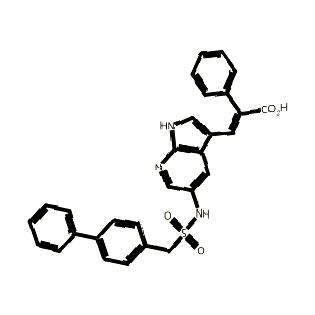 O=C(O)C(=Cc1c[nH]c2ncc(NS(=O)(=O)Cc3ccc(-c4ccccc4)cc3)cc12)c1ccccc1